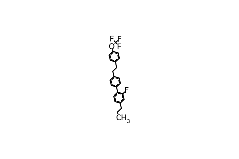 CCCc1ccc(-c2ccc(CCc3ccc(OC(F)(F)F)cc3)cc2)c(F)c1